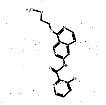 COCCOc1nccc2cc(NC(=O)c3ncccc3N)ccc12